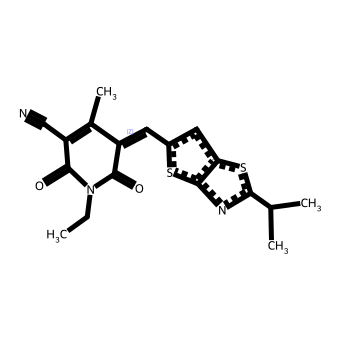 CCN1C(=O)C(C#N)=C(C)/C(=C/c2cc3sc(C(C)C)nc3s2)C1=O